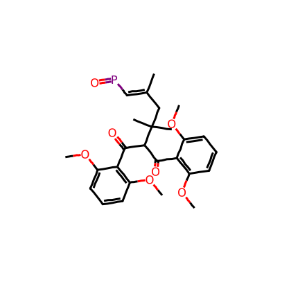 COc1cccc(OC)c1C(=O)C(C(=O)c1c(OC)cccc1OC)C(C)(C)CC(C)=CP=O